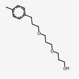 Cc1ccc(CCCOCCCOCCCO)cc1